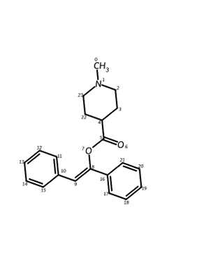 CN1CCC(C(=O)O/C(=C\c2ccccc2)c2ccccc2)CC1